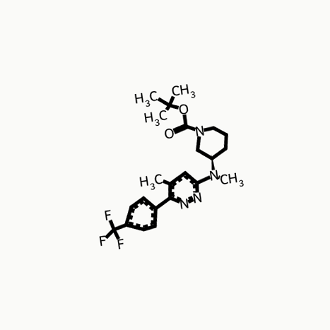 Cc1cc(N(C)[C@@H]2CCCN(C(=O)OC(C)(C)C)C2)nnc1-c1ccc(C(F)(F)F)cc1